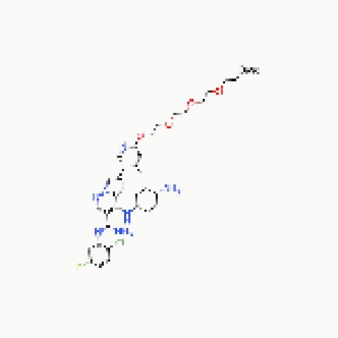 COCCOCCOCCOCCOc1cc(C)c(-c2cc3c(N[C@H]4CC[C@H](N)CC4)c(/C(N)=N/c4cc(F)ccc4Cl)cnn3c2)cn1